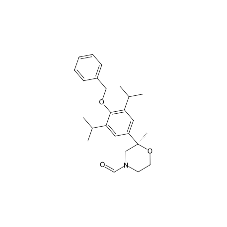 CC(C)c1cc([C@]2(C)CN(C=O)CCO2)cc(C(C)C)c1OCc1ccccc1